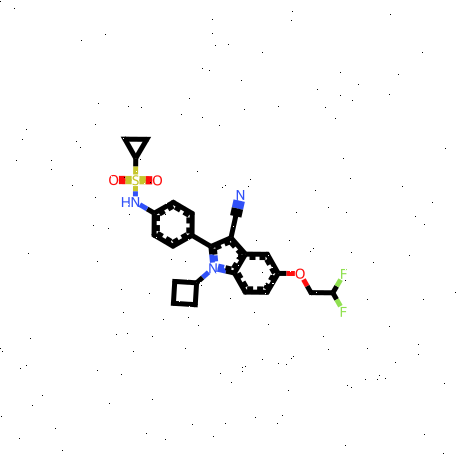 N#Cc1c(-c2ccc(NS(=O)(=O)C3CC3)cc2)n(C2CCC2)c2ccc(OCC(F)F)cc12